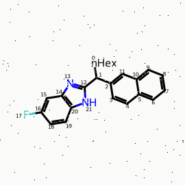 CCCCCCC(c1ccc2ccccc2c1)c1nc2cc(F)ccc2[nH]1